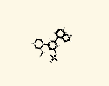 CS(C)(=O)=Nc1cc(N2CCOC[C@H]2CF)nc(-c2ccnc3[nH]ccc23)n1